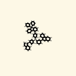 c1ccc(C2(c3ccccc3)c3ccccc3-c3c(-c4ccc(N(c5ccc(-c6cccc7ccccc67)cc5)c5cccc(-c6cc7ccccc7c7ccccc67)c5)cc4)cccc32)cc1